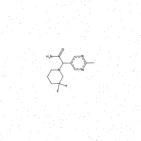 Cc1ncc(C(C(N)=O)N2CCCC(F)(F)C2)cn1